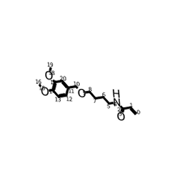 C=CC(=O)NCCCCOCc1ccc(OC)c(OC)c1